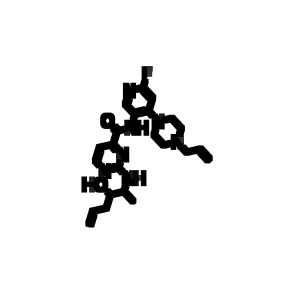 C=CCC(O)C(C)Nc1nccc(C(=O)Nc2cnc(F)cc2N2CCN(CC=C)CC2)n1